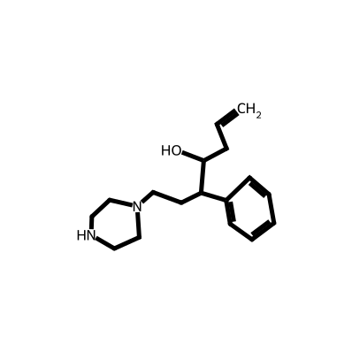 C=CCC(O)C(CCN1CCNCC1)c1ccccc1